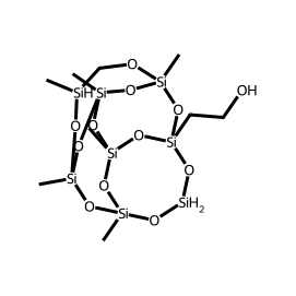 C[SiH]1CO[Si]2(C)O[Si]3(C)O[Si](C)(O1)O[Si]1(C)O[SiH2]O[Si](CCO)(O2)O[Si](C)(O1)O3